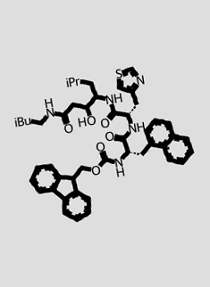 CCC(C)CNC(=O)CC(O)C(CC(C)C)NC(=O)[C@H](Cc1cscn1)NC(=O)[C@H](Cc1cccc2ccccc12)NC(=O)OCC1c2ccccc2-c2ccccc21